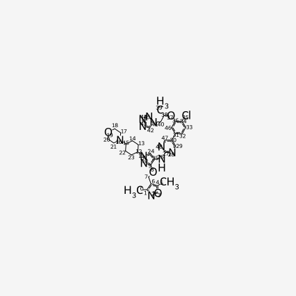 Cc1noc(C)c1COc1nn(C2CCC(N3CCOCC3)CC2)cc1Nc1ncc(-c2ccc(Cl)c(O[C@@H](C)Cn3cnnn3)c2)cn1